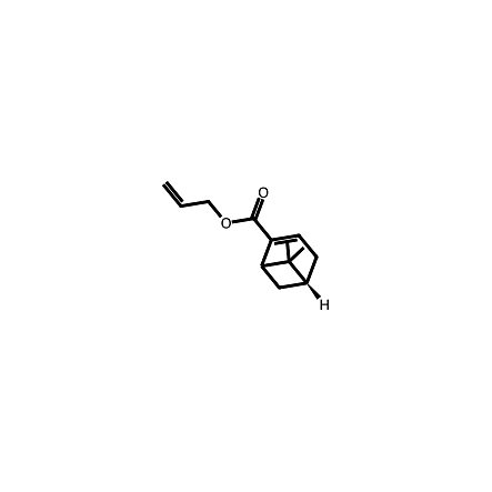 C=CCOC(=O)C1=CC[C@@H]2CC1C2(C)C